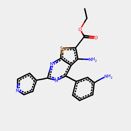 CCOC(=O)c1sc2nc(-c3ccncc3)nc(-c3cccc(N)c3)c2c1N